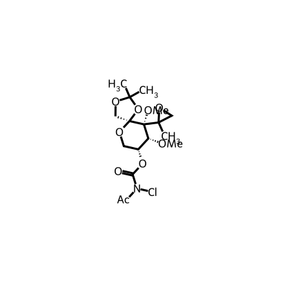 CO[C@@H]1[C@H](OC(=O)N(Cl)C(C)=O)CO[C@]2(COC(C)(C)O2)[C@@]1(OC)C1(C)CO1